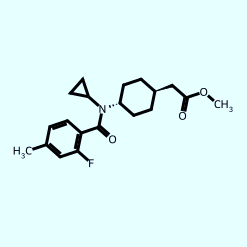 COC(=O)C[C@H]1CC[C@H](N(C(=O)c2ccc(C)cc2F)C2CC2)CC1